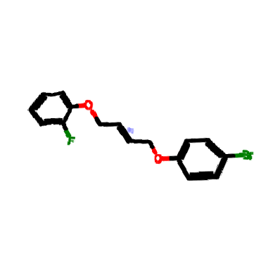 Fc1ccccc1OC/C=C/COc1ccc(Br)cc1